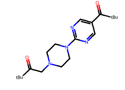 CC(C)(C)C(=O)CN1CCN(c2ncc(C(=O)C(C)(C)C)cn2)CC1